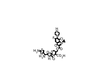 Nc1nc([C@@H](N)C(=O)N[C@@H]2C(=O)N3C(C(=O)O)=C(COC(=O)c4cn(C5CC5)c5c(Cl)c(N6CCNCC6)c(F)cc5c4=O)CS[C@H]23)cs1